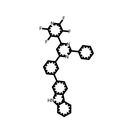 Fc1nc(F)c(F)c(-c2cc(-c3cccc(-c4ccc5c(c4)[nH]c4ccccc45)c3)nc(-c3ccccc3)n2)c1F